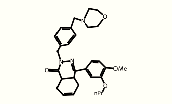 CCCOc1cc(C2=NN(Cc3ccc(CN4CCOCC4)cc3)C(=O)C3CC=CCC23)ccc1OC